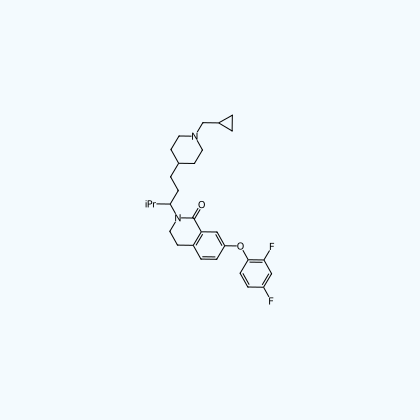 CC(C)C(CCC1CCN(CC2CC2)CC1)N1CCc2ccc(Oc3ccc(F)cc3F)cc2C1=O